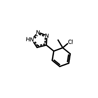 CC1(Cl)C=CC=CC1c1c[nH]nn1